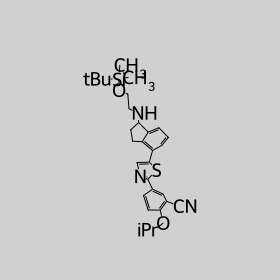 CC(C)Oc1ccc(-c2ncc(-c3cccc4c3CCC4NCCO[Si](C)(C)C(C)(C)C)s2)cc1C#N